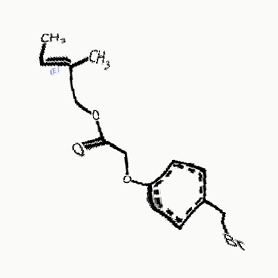 C/C=C(\C)COC(=O)COc1ccc(CBr)cc1